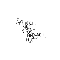 COc1ccc(C)c2[nH]c(C(=O)N[C@@H](CC(C)(C)C)C(=O)N[C@H](C#N)CC[C@@H]3CCNC3=O)cc12